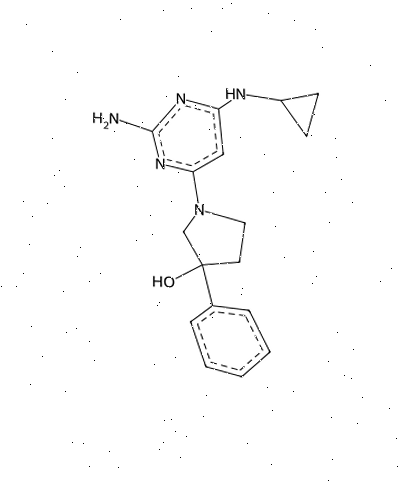 Nc1nc(NC2CC2)cc(N2CCC(O)(c3ccccc3)C2)n1